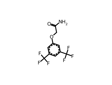 NC(=O)COc1cc(C(F)(F)F)cc(C(F)(F)F)c1